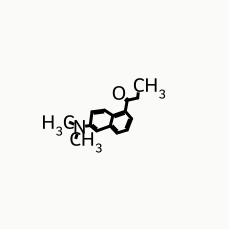 CCC(=O)c1cccc2cc(N(C)C)ccc12